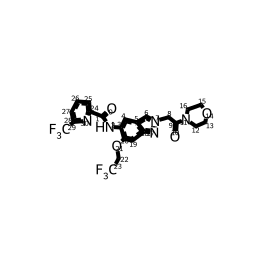 O=C(Nc1cc2cn(CC(=O)N3CCOCC3)nc2cc1OCC(F)(F)F)c1cccc(C(F)(F)F)n1